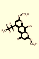 CCCc1c2nc(OC(=O)O)cc(C(F)(F)C(F)(F)C(F)(F)F)c2cc2c(=O)cc(OC(=O)O)oc12